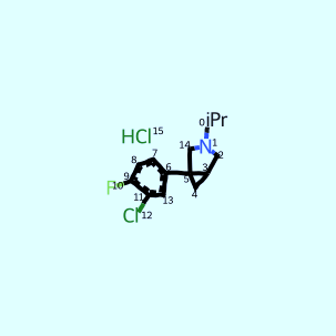 CC(C)N1CC2CC2(c2ccc(F)c(Cl)c2)C1.Cl